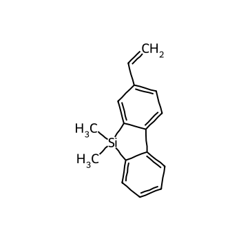 C=Cc1ccc2c(c1)[Si](C)(C)c1ccccc1-2